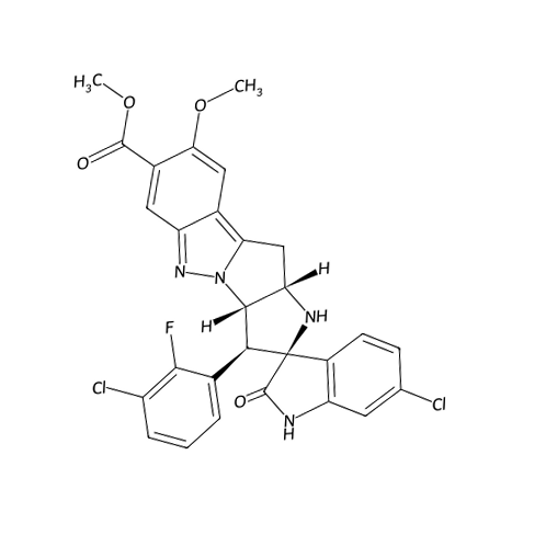 COC(=O)c1cc2nn3c(c2cc1OC)C[C@@H]1N[C@@]2(C(=O)Nc4cc(Cl)ccc42)[C@@H](c2cccc(Cl)c2F)[C@@H]13